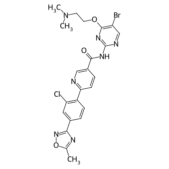 Cc1nc(-c2ccc(-c3ccc(C(=O)Nc4ncc(Br)c(OCCN(C)C)n4)cn3)c(Cl)c2)no1